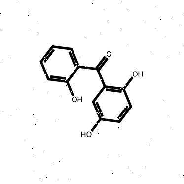 O=C(c1ccccc1O)c1cc(O)ccc1O